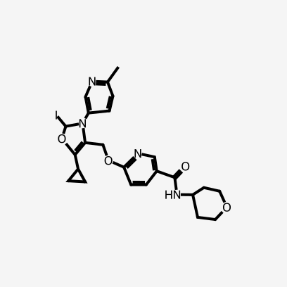 Cc1ccc(N2C(COc3ccc(C(=O)NC4CCOCC4)cn3)=C(C3CC3)OC2I)cn1